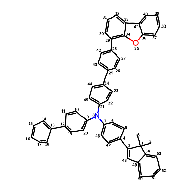 CC1(C)C(c2ccc(N(c3ccc(-c4ccccc4)cc3)c3ccc(-c4ccc(-c5cccc6c5oc5ccccc56)cc4)cc3)cc2)=Cc2ccccc21